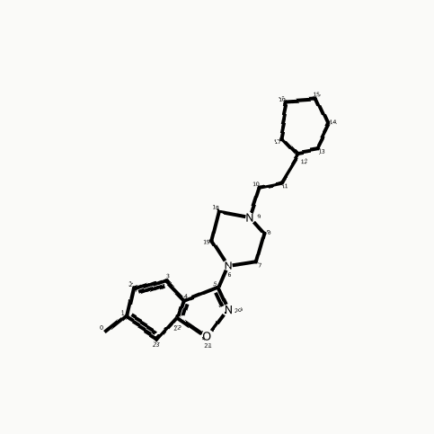 Cc1ccc2c(N3CCN(CCC4CCCCC4)CC3)noc2c1